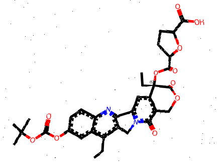 CCc1c2c(nc3ccc(OC(=O)OC(C)(C)C)cc13)-c1cc3c(c(=O)n1C2)COC(=O)[C@@]3(CC)OC(=O)C1CCC(C(=O)O)O1